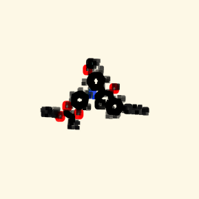 CC[C@@H](Oc1cccc(-n2c(C)c(C(=O)c3cccc(OC)c3)c3ccc(OC(F)(F)F)cc32)c1)C(=O)OC(C)(C)C